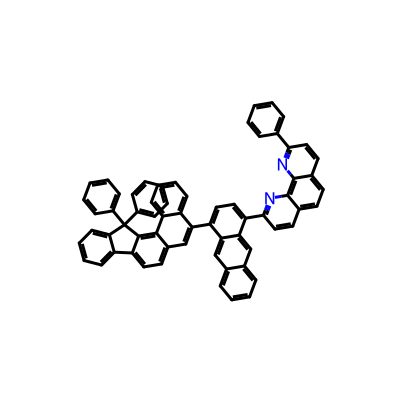 c1ccc(-c2ccc3ccc4ccc(-c5ccc(-c6cc7ccc8c(c7c7ccccc67)C(c6ccccc6)(c6ccccc6)c6ccccc6-8)c6cc7ccccc7cc56)nc4c3n2)cc1